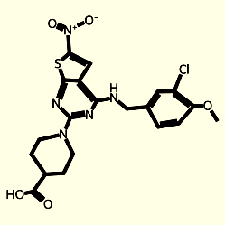 COc1ccc(CNc2nc(N3CCC(C(=O)O)CC3)nc3sc([N+](=O)[O-])cc23)cc1Cl